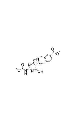 COC(=O)Nc1nc(O)c2c(cnn2Cc2ccc(C(=O)OC)cc2C)n1